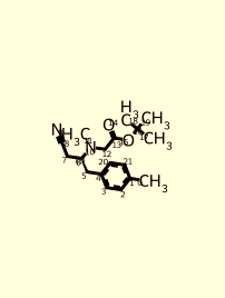 Cc1ccc(C[C@@H](CC#N)N(C)CC(=O)OC(C)(C)C)cc1